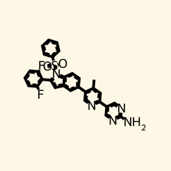 Cc1cc(-c2cnc(N)nc2)ncc1-c1ccc2c(c1)cc(-c1c(F)cccc1F)n2S(=O)(=O)c1ccccc1